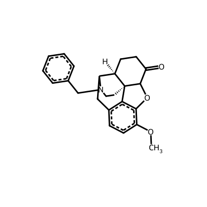 COc1ccc2c3c1OC1C(=O)CC[C@@H]4C(C2)N(Cc2ccccc2)CC[C@@]314